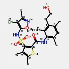 CCCCCc1c(CCO)c(C)cc(C)c1NC(=O)c1sc(C)c(C)c1S(=O)(=O)Nc1onc(C)c1Cl